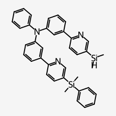 C[SiH](C)c1ccc(-c2cccc(N(c3ccccc3)c3cccc(-c4ccc([Si](C)(C)c5ccccc5)cn4)c3)c2)nc1